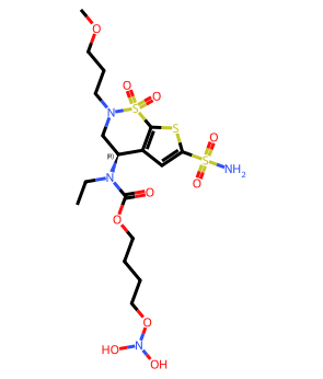 CCN(C(=O)OCCCCON(O)O)[C@H]1CN(CCCOC)S(=O)(=O)c2sc(S(N)(=O)=O)cc21